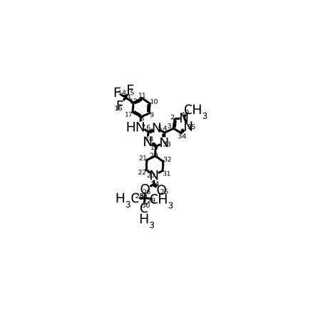 Cn1cc(-c2nc(Nc3cccc(C(F)(F)F)c3)nc(C3CCN(C(=O)OC(C)(C)C)CC3)n2)cn1